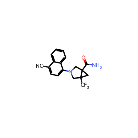 N#Cc1ccc(N2CC3(C(N)=O)CC3(C(F)(F)F)C2)c2ccccc12